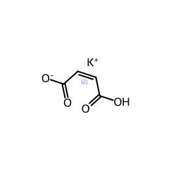 O=C([O-])/C=C\C(=O)O.[K+]